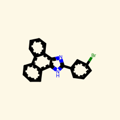 Brc1cccc(-c2nc3c4ccccc4c4ccccc4c3[nH]2)c1